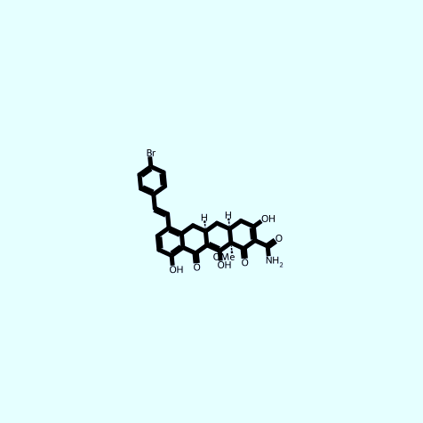 CO[C@@]12C(=O)C(C(N)=O)=C(O)C[C@@H]1C[C@@H]1Cc3c(/C=C/c4ccc(Br)cc4)ccc(O)c3C(=O)C1=C2O